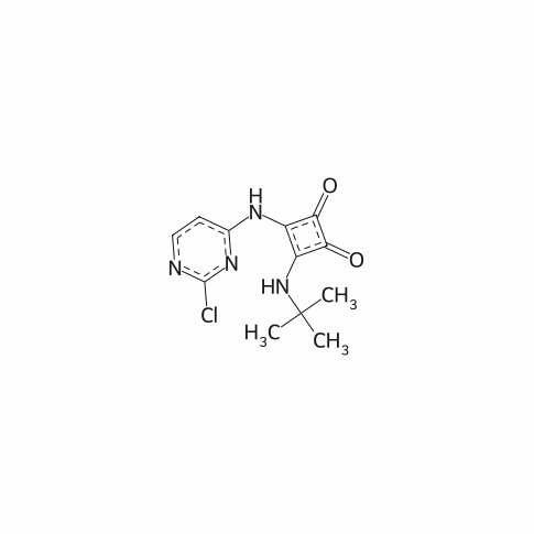 CC(C)(C)Nc1c(Nc2ccnc(Cl)n2)c(=O)c1=O